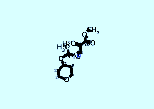 C=C(/C=N\C(C)OC1CCOCC1)C(=O)OC